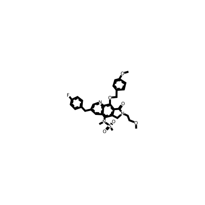 COCCN1Cc2c(c(OCc3ccc(OC)cc3)c3ncc(Cc4ccc(F)cc4)cc3c2N(C)S(C)(=O)=O)C1=O